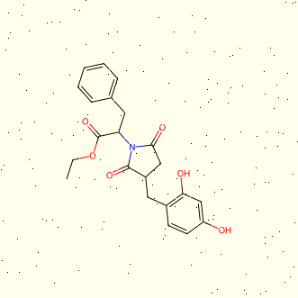 CCOC(=O)C(Cc1ccccc1)N1C(=O)CC(Cc2ccc(O)cc2O)C1=O